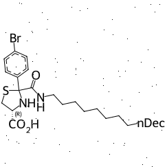 CCCCCCCCCCCCCCCCCCNC(=O)C1(c2ccc(Br)cc2)N[C@H](C(=O)O)CS1